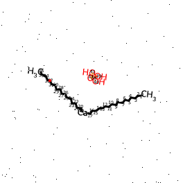 CCCCCCCCCCCCCCCCC[CH2][Ca][CH2]CCCCCCCCCCCCCCCCC.O=P(O)(O)O